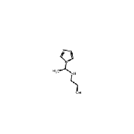 CC(NCCO)n1ccnc1